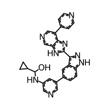 OC(Nc1cncc(-c2ccc3[nH]nc(-c4nc5c(-c6ccncc6)cncc5[nH]4)c3c2)c1)C1CC1